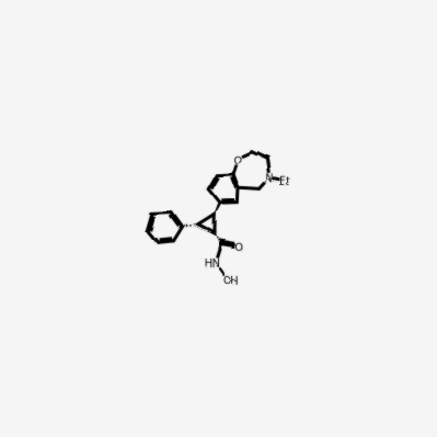 CCN1CCOc2ccc([C@H]3[C@H](C(=O)NO)[C@@H]3c3ccccc3)cc2C1